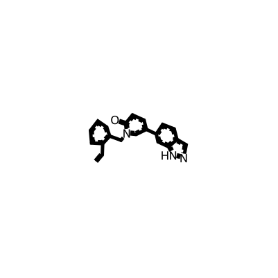 C=Cc1ccccc1Cn1cc(-c2ccc3cn[nH]c3c2)ccc1=O